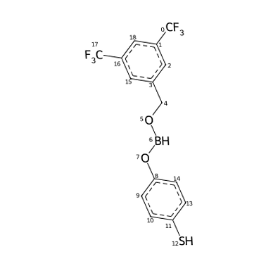 FC(F)(F)c1cc(COBOc2ccc(S)cc2)cc(C(F)(F)F)c1